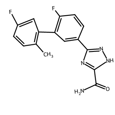 Cc1ccc(F)cc1-c1cc(-c2n[nH]c(C(N)=O)n2)ccc1F